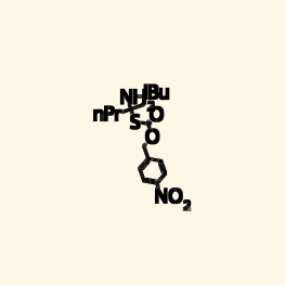 [CH2]CC(C)CC(N)(CCC)SC(=O)OCc1ccc([N+](=O)[O-])cc1